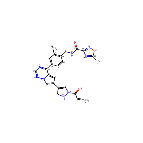 C=CC(=O)N1C=C(c2cc3c(-c4ccc(CNC(=O)c5noc(C(C)(C)C)n5)c(C)c4)ncnn3c2)CN1